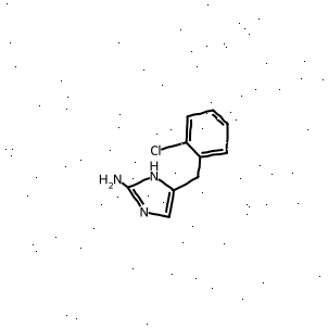 Nc1ncc(Cc2ccccc2Cl)[nH]1